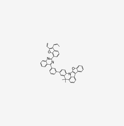 C=Cc1oc2c(-c3nc(-c4cccc(-c5ccc6c(c5)C(C)(C)c5cccc7c8c9ccccc9oc8n-6c57)c4)c4ccccc4n3)cccc2c1/C=C\C